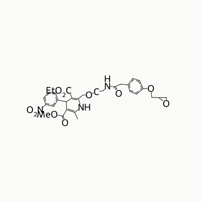 CCOC(=O)C1=C(COCCNC(=O)Cc2ccc(OCC3CO3)cc2)NC(C)=C(C(=O)OC)C1c1cccc([N+](=O)[O-])c1